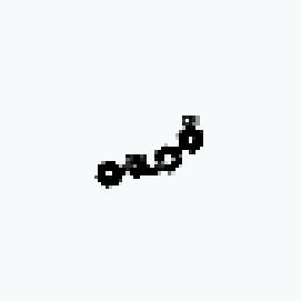 N#Cc1cccc(C2CCN(Cc3cn(-c4ccccc4)nn3)CC2)c1